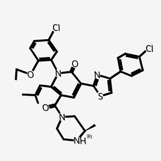 CCOc1ccc(Cl)cc1-n1c(C=C(C)C)c(C(=O)N2CCN[C@H](C)C2)cc(-c2nc(-c3ccc(Cl)cc3)cs2)c1=O